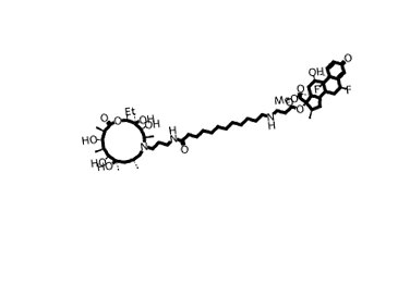 CC[C@H]1OC(=O)[C@H](C)[C@@H](O)[C@H](C)[C@@H](O)[C@](C)(O)C[C@@H](C)CN(CCCNC(=O)CCCCCCCCCCCNCCC(=O)O[C@]2(C(=O)OC)[C@H](C)CC3C4C[C@H](F)C5=CC(=O)C=C[C@]5(C)[C@@]4(F)[C@@H](O)C[C@@]32C)[C@H](C)[C@@H](O)[C@]1(C)O